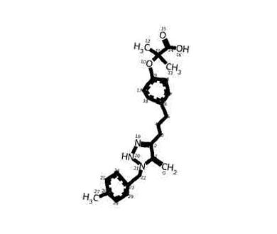 C=C1C(CCCc2ccc(OC(C)(C)C(=O)O)cc2)=NNN1Cc1ccc(C)cc1